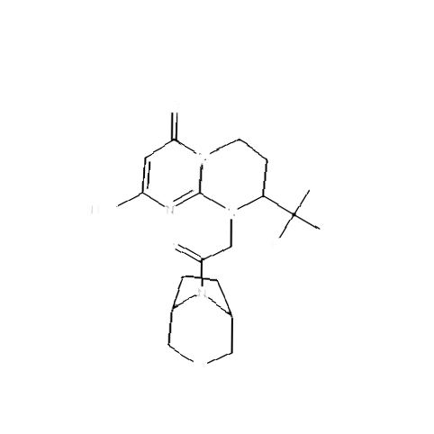 Cc1cc(=O)n2c(n1)N(CC(=O)N1C3CCC1COC3)C(C(F)(F)F)CC2